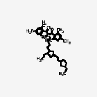 C=CC1CCC(/C=C/C2CC(C=C)C(CCCCP(=O)(C(=O)c3c(C)cc(C)cc3C)C(=O)c3c(C)cc(C)cc3C)C2)C1